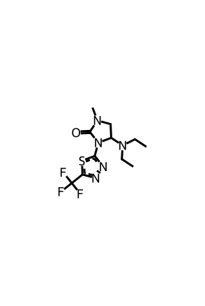 CCN(CC)C1CN(C)C(=O)N1c1nnc(C(F)(F)F)s1